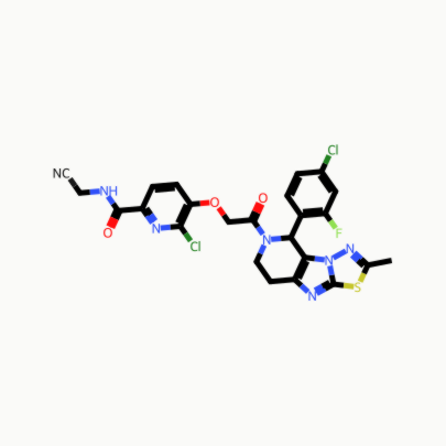 Cc1nn2c3c(nc2s1)CCN(C(=O)COc1ccc(C(=O)NCC#N)nc1Cl)C3c1ccc(Cl)cc1F